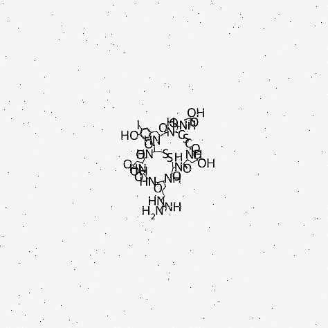 N=C(N)NCCCC1NC(=O)C2CSSCC(NC(=O)C(CC(=O)O)NC(=O)CNC1=O)C(=O)NC(Cc1ccc(O)c(I)c1)C(=O)NC(C(=O)NCC(=O)O)CSCC(=O)NC(CC(=O)O)C(=O)N2